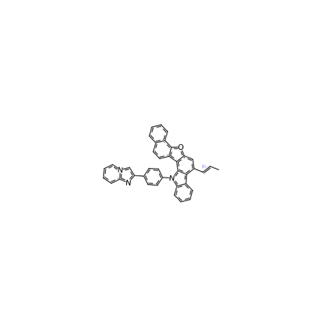 C/C=C/c1cc2oc3c4ccccc4ccc3c2c2c1c1ccccc1n2-c1ccc(-c2cn3ccccc3n2)cc1